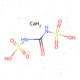 O=C(NS(=O)(=O)O)NS(=O)(=O)O.[CaH2]